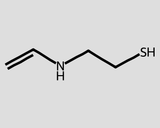 C=CNCCS